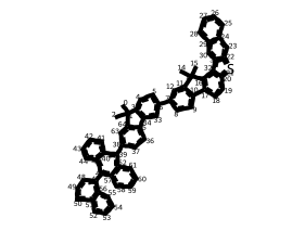 CC1(C)c2ccc(-c3ccc4c(c3)C(C)(C)c3c-4ccc4sc5cc6ccccc6cc5c34)cc2-c2ccc(-c3c4ccccc4c(-c4cccc5ccccc45)c4ccccc34)cc21